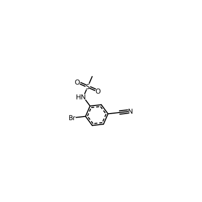 CS(=O)(=O)Nc1cc(C#N)ccc1Br